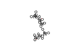 c1ccc(-c2cc(-c3ccc(-c4ccc5c6ccc7c(c8ccccc8n7-c7ccc(-c8nc(-c9ccccc9)cc(-c9ccccc9)n8)c8ccccc78)c6n(-c6ccccc6)c5c4)cc3)cc(-c3cc(-n4c5ccccc5c5c4ccc4c6ccccc6n(-c6ccccc6)c45)c4ccccc4c3)n2)cc1